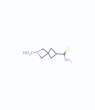 NC(=S)C1CC2(C1)CN(C(=O)O)C2